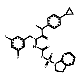 CN(C(=O)[C@H](Cc1cc(F)cc(F)c1)NC(=O)NS(=O)(=O)N1CCc2cccnc21)c1ccc(C2CC2)cc1